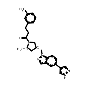 Cc1cccc(CCC(=O)N2C[C@H](Cn3ncc4cc(-c5cn[nH]c5)ccc43)C[C@@H]2C)c1